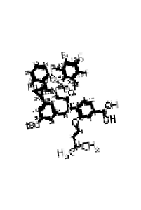 CN(C)CCOc1cc(C(O)O)ccc1N(Cc1cc(C2CC2)cc(C(C)(C)C)c1)C(=O)CN(Cc1ccccc1F)S(=O)(=O)c1c(F)c(F)c(F)c(F)c1F